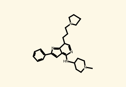 CN1CCC(NC2=C3C=C(c4ccccc4)N=C3C(CCCN3CCCC3)C=N2)CC1